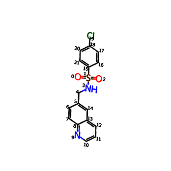 O=S(=O)(NCc1ccc2ncccc2c1)c1ccc(Cl)cc1